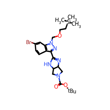 CC(C)(C)OC(=O)N1CC2N=C(c3nn(COCC[Si](C)(C)C)c4cc(Br)ccc34)NC2C1